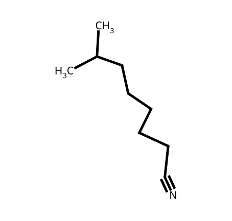 CC(C)CCCCCC#N